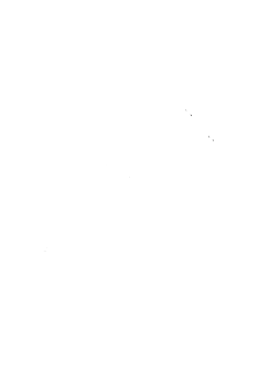 Cc1cc(-c2cnn(C)c2)cc(C)c1Br